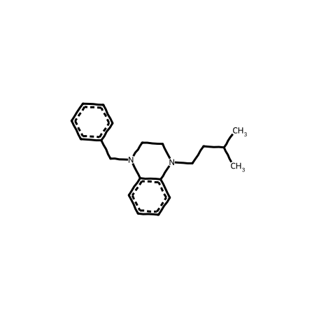 CC(C)CCN1CCN(Cc2ccccc2)c2ccccc21